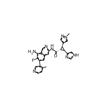 Cc1ccncc1-c1cc2cc(NC(=O)[C@H]3C(c4c[nH]cn4)[C@@H]3c3cnn(C)c3)ncc2c(N)c1F